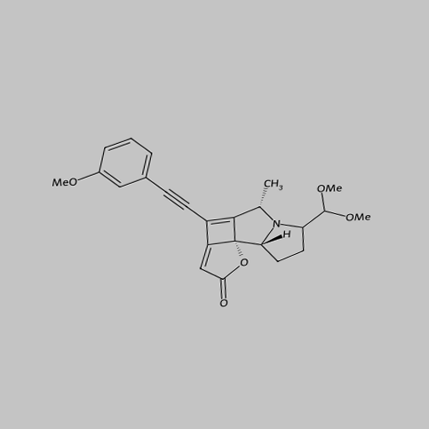 COc1cccc(C#CC2=C3[C@H](C)N4C(C(OC)OC)CC[C@@H]4[C@]34OC(=O)C=C24)c1